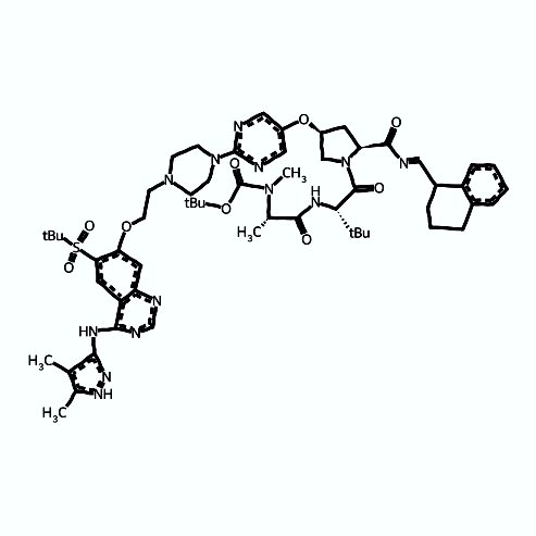 Cc1[nH]nc(Nc2ncnc3cc(OCCN4CCN(c5ncc(O[C@H]6C[C@@H](C(=O)/N=C/C7CCCc8ccccc87)N(C(=O)[C@@H](NC(=O)[C@H](C)N(C)C(=O)OC(C)(C)C)C(C)(C)C)C6)cn5)CC4)c(S(=O)(=O)C(C)(C)C)cc23)c1C